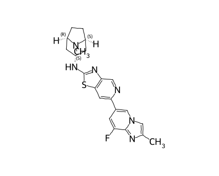 Cc1cn2cc(-c3cc4sc(N[C@@H]5C[C@H]6CC[C@@H](C5)N6C)nc4cn3)cc(F)c2n1